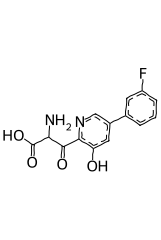 NC(C(=O)O)C(=O)c1ncc(-c2cccc(F)c2)cc1O